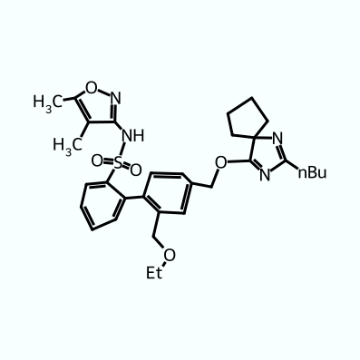 CCCCC1=NC2(CCCC2)C(OCc2ccc(-c3ccccc3S(=O)(=O)Nc3noc(C)c3C)c(COCC)c2)=N1